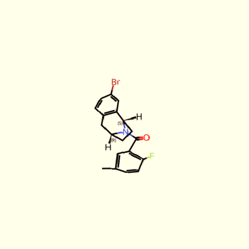 Cc1ccc(F)c(C(=O)N2[C@@H]3CC[C@H]2c2cc(Br)ccc2C3)c1